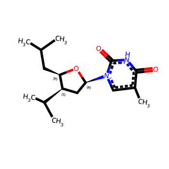 Cc1cn([C@H]2C[C@@H](C(C)C)[C@@H](CC(C)C)O2)c(=O)[nH]c1=O